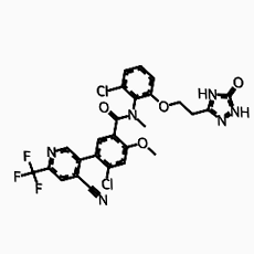 COc1cc(Cl)c(-c2cnc(C(F)(F)F)cc2C#N)cc1C(=O)N(C)c1c(Cl)cccc1OCCc1n[nH]c(=O)[nH]1